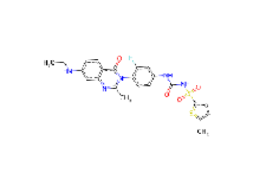 CCNc1ccc2c(=O)n(-c3ccc(NC(=O)NS(=O)(=O)c4ccc(C)s4)cc3F)c(C)nc2c1